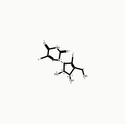 O=c1[nH]c(=O)n([C@@H]2C(F)=C(CO)[C@@H](O)[C@H]2O)cc1I